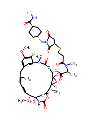 COc1cc2cc(c1Cl)N(C)C(=O)C[C@H](OC(=O)[C@H](C)N(C)C(=O)CCSC1CC(=O)N(C[C@H]3CC[C@H](C(=O)NS)CC3)C1=O)[C@]1(C)O[C@H]1[C@H](C)[C@@H]1C[C@@](O)(NC(=O)O1)[C@H](OC)/C=C/C=C(\C)C2